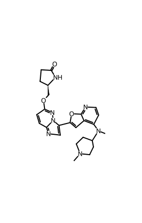 CN1CCC(N(C)c2ccnc3oc(-c4cnc5ccc(OC[C@H]6CCC(=O)N6)nn45)cc23)CC1